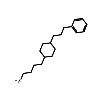 CCCCCC1CCC(CCCc2ccccc2)CC1